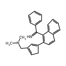 CN(C)CC1=CCC(c2ccc3ccccc3c2C(=N)c2ccccc2)=C1